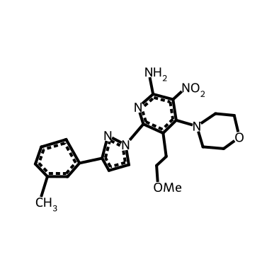 COCCc1c(-n2ccc(-c3cccc(C)c3)n2)nc(N)c([N+](=O)[O-])c1N1CCOCC1